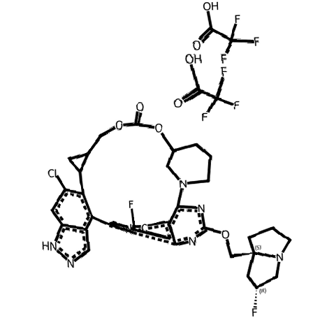 O=C(O)C(F)(F)F.O=C(O)C(F)(F)F.O=C1OCC2CC2c2c(Cl)cc3[nH]ncc3c2-c2ncc3c(nc(OC[C@@]45CCCN4C[C@H](F)C5)nc3c2F)N2CCCC(C2)O1